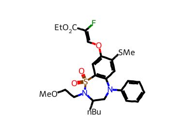 CCCCC1CN(c2ccccc2)c2cc(SC)c(O/C=C(\F)C(=O)OCC)cc2S(=O)(=O)N1CCOC